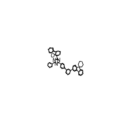 c1ccc(-c2nc(-c3ccc(-c4cccc(-c5ccc6c(c5)-c5ccccc5C65CCCCC5)c4)cc3)nc(-c3cccc4c3oc3ccccc34)n2)cc1